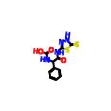 O=C(O)NC(C(=O)Nc1n[nH]c(=S)s1)c1ccccc1